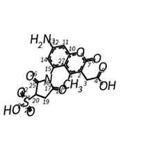 Cc1c(CC(=O)O)c(=O)oc2cc(N)cc(N3C(=O)CC(S(=O)(=O)O)C3=O)c12